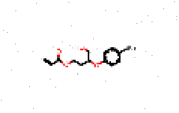 C=CC(=O)OCCC(CO)Oc1ccc(C(C)CC)cc1